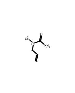 C=CCN(N=O)C(N)=O